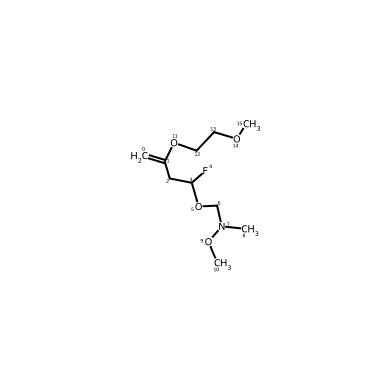 C=C(CC(F)OCN(C)OC)OCCOC